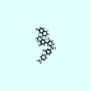 CN(C)C1CCN(c2ccc(Nc3ncc(F)c(-c4cc(F)c5c(c4)N(C4CCCc6ccc(F)cc64)CCO5)n3)cc2F)CC1